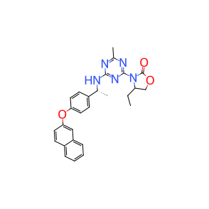 CCC1COC(=O)N1c1nc(C)nc(N[C@H](C)c2ccc(Oc3ccc4ccccc4c3)cc2)n1